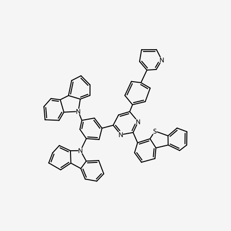 c1cncc(-c2ccc(-c3cc(-c4cc(-n5c6ccccc6c6ccccc65)cc(-n5c6ccccc6c6ccccc65)c4)nc(-c4cccc5c4sc4ccccc45)n3)cc2)c1